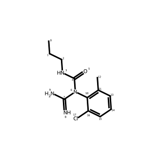 CCCNC(=O)N(C(=N)N)c1c(C)cccc1Cl